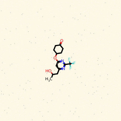 CC(O)Cc1cc(OC2CCC(=O)CC2)nc(C(F)(F)F)n1